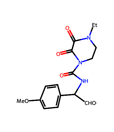 CCN1CCN(C(=O)NC([C]=O)c2ccc(OC)cc2)C(=O)C1=O